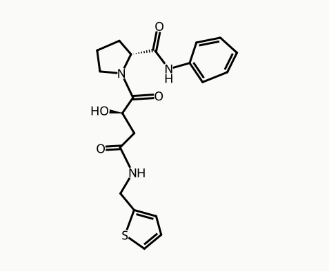 O=C(C[C@@H](O)C(=O)N1CCC[C@@H]1C(=O)Nc1ccccc1)NCc1cccs1